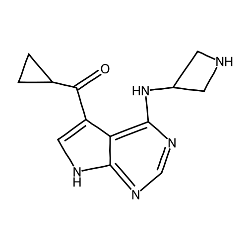 O=C(c1c[nH]c2ncnc(NC3CNC3)c12)C1CC1